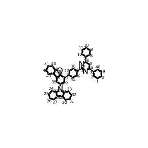 c1ccc(-c2cc(-c3ccccc3)nc(-c3ccc(-c4cc(-n5c6ccccc6c6ccccc65)cc5c4oc4ccccc45)cc3)n2)cc1